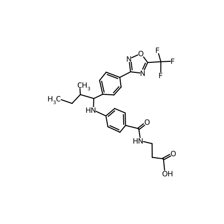 CCC(C)C(Nc1ccc(C(=O)NCCC(=O)O)cc1)c1ccc(-c2noc(C(F)(F)F)n2)cc1